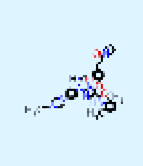 CCCN1CCN(c2ccc(Nc3ncc(C(=O)Nc4c(C)cccc4C)c(Oc4ccc(CCC(=O)N5CCCC5)cc4OC)n3)cc2)CC1